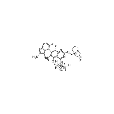 N#Cc1c(N)sc2ccc(F)c(-c3c(Cl)c4c5c(nc(OC[C@@]67CCCN6C[C@H](F)C7)nc5c3F)N3C[C@H]5CC[C@H](N5)[C@H]3CO4)c12